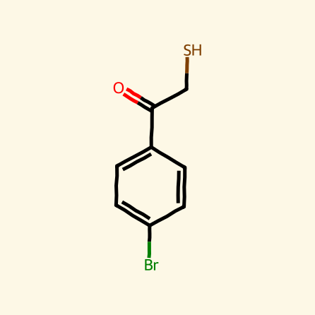 O=C(CS)c1ccc(Br)cc1